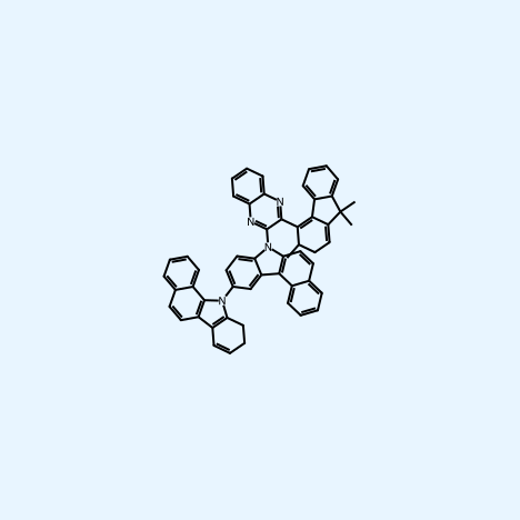 CC1CC=C2C(=C1c1nc3ccccc3nc1-n1c3ccc(-n4c5c(c6ccc7ccccc7c64)C=CCC5)cc3c3c4ccccc4ccc31)c1ccccc1C2(C)C